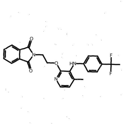 Cc1ccnc(OCCN2C(=O)c3ccccc3C2=O)c1Nc1ccc(C(C)(F)F)cc1